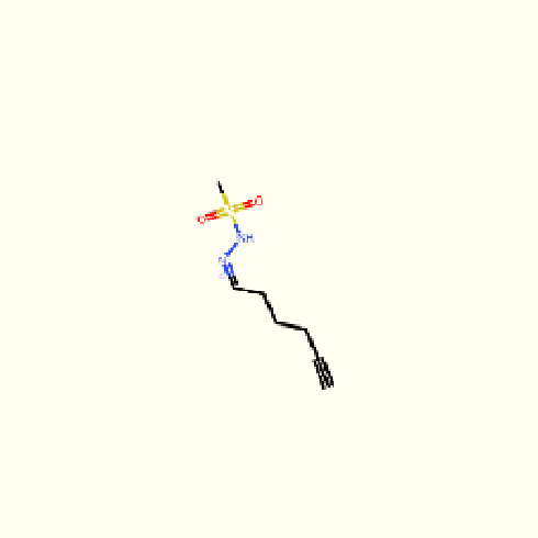 C#CCCC/C=N\NS(C)(=O)=O